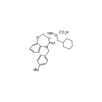 CC(C)(C)c1ccc(CN2C(=O)[C@@H](N[C@@H](CC3CCCCC3)C(=O)O)COc3ccccc32)cc1